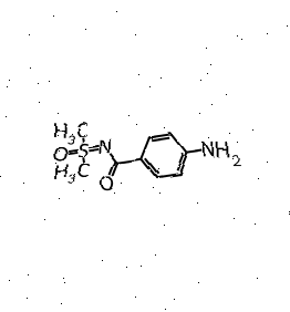 CS(C)(=O)=NC(=O)c1ccc(N)cc1